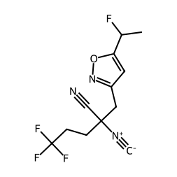 [C-]#[N+]C(C#N)(CCC(F)(F)F)Cc1cc(C(C)F)on1